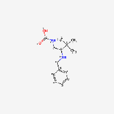 CC(C)(C)C(CNC(=O)O)NCc1ccccc1